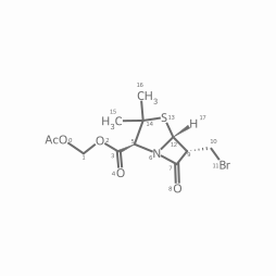 CC(=O)OCOC(=O)[C@@H]1N2C(=O)[C@@H](CBr)[C@H]2SC1(C)C